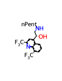 CCCCCNC[C@H](O)c1cc(C(F)(F)F)nc2c(C(F)(F)F)cccc12